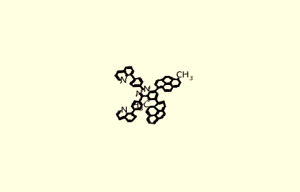 CC1CC=c2ccc3c(C4=C5N=C(c6ccc(-c7cccc8cccnc78)cc6)N=C(c6ccc(-c7cccc8cccnc78)cc6)C5C(C)C(C5=CC=c6ccc7cccc8c7c6C5CC=8)=C4)ccc4ccc1c2c43